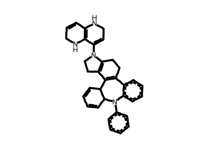 C1=CC2C3=C(CCC4=C3CCN4C3=CCNC4=C3NCC=C4)c3ccccc3N(c3ccccc3)C2C=C1